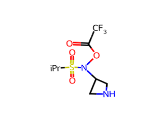 CC(C)S(=O)(=O)N(OC(=O)C(F)(F)F)C1CNC1